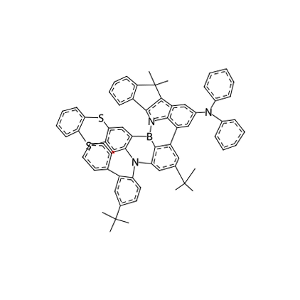 CC(C)(C)c1ccc(N2c3cc4c(cc3B3c5c(cc(C(C)(C)C)cc52)-c2cc(N(c5ccccc5)c5ccccc5)cc5c6c(n3c25)-c2ccccc2C6(C)C)Sc2ccccc2S4)c(-c2ccccc2)c1